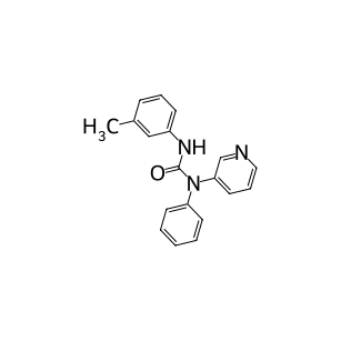 Cc1cccc(NC(=O)N(c2ccccc2)c2cccnc2)c1